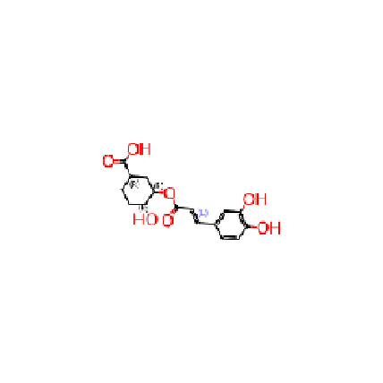 O=C(/C=C/c1ccc(O)c(O)c1)O[C@@H]1C[C@H](C(=O)O)CC[C@H]1O